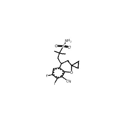 CC(C)(CC1CC2(CC2)Oc2c1cc(F)c(I)c2C#N)S(N)(=O)=O